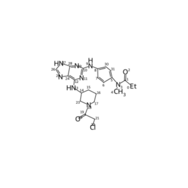 CCC(=O)N(C)c1ccc(Nc2nc(NC3CCCN(C(=O)CCl)C3)c3nc[nH]c3n2)cc1